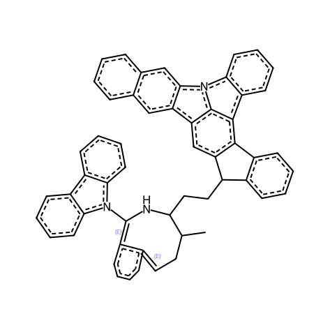 CC1C/C=c2\cccc\c2=C(/n2c3ccccc3c3ccccc32)NC1CCC1c2ccccc2-c2c1cc1c3cc4ccccc4cc3n3c4ccccc4c2c13